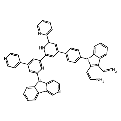 C=Cc1c(/C=C\N)n(-c2ccc(C3=CC(c4ccccn4)NC(c4cc(-c5ccncc5)cc(-n5c6ccccc6c6cnccc65)n4)=C3)cc2)c2ccccc12